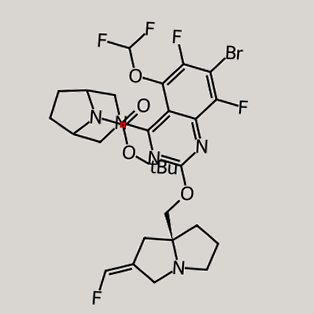 CC(C)(C)OC(=O)N1C2CCC1CN(c1nc(OC[C@@]34CCCN3C/C(=C\F)C4)nc3c(F)c(Br)c(F)c(OC(F)F)c13)C2